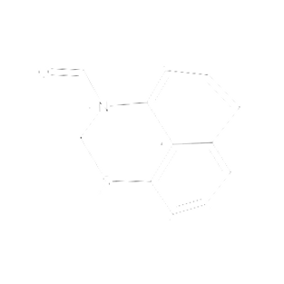 O=CN1CSc2cccc3cccc1c23